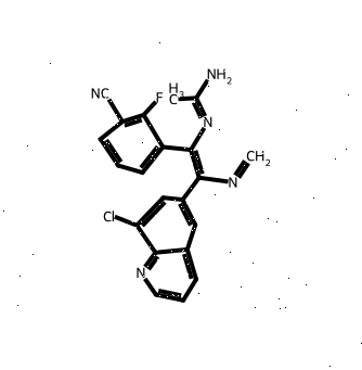 C=N/C(=C(\N=C(/C)N)c1cccc(C#N)c1F)c1cc(Cl)c2ncccc2c1